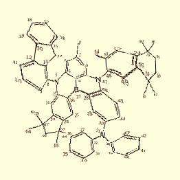 Cc1cc2c3c(c1)N(c1cccc4c1Cc1ccccc1-4)c1cc4c(cc1B3c1cc(N(c3ccccc3)c3ccccc3)ccc1N2c1cc2c(cc1C)C(C)(C)CCC2(C)C)C(C)(C)CC4(C)C